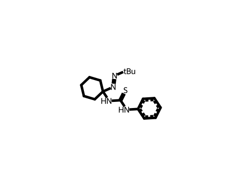 CC(C)(C)/N=N/C1(NC(=S)Nc2ccccc2)CCCCC1